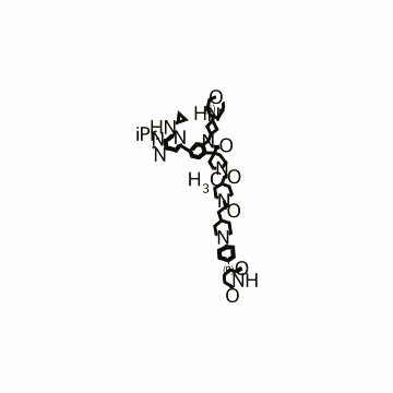 CC(C)n1cnc2cc(-c3ccc4c(c3)N(C3CC(N5C6CC[C@H]5COC6)C3)C(=O)C43CCN(C(=O)C4(C)CCN(C(=O)CC5CCN(c6ccc([C@H]7CCC(=O)NC7=O)cc6)CC5)CC4)CC3)nc(NC3CC3)c21